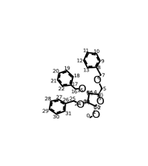 CO[C@H]1O[C@H](COCc2ccccc2)[C@@H](OCc2ccccc2)[C@H]1OCc1ccccc1